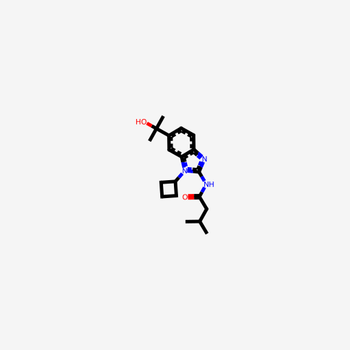 CC(C)CC(=O)Nc1nc2ccc(C(C)(C)O)cc2n1C1CCC1